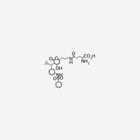 N[C@@H](CCC(=O)NCCCc1cc(O)c(C(c2cccc(NS(=O)(=O)c3ccccc3)c2)C2CC2)c(=O)o1)C(=O)O